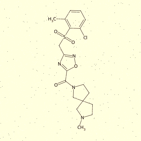 Cc1cccc(Cl)c1S(=O)(=O)Cc1noc(C(=O)N2CCC3(CCN(C)C3)C2)n1